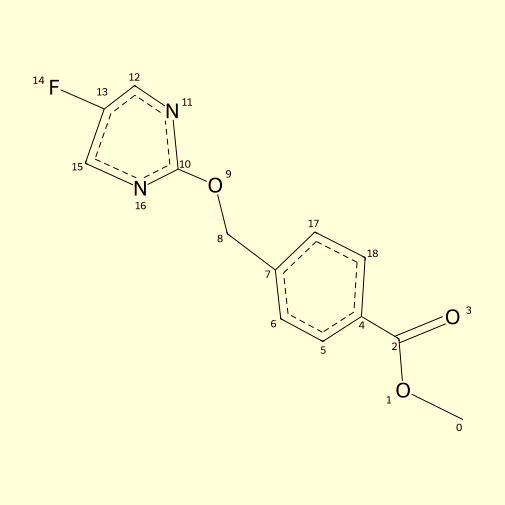 COC(=O)c1ccc(COc2ncc(F)cn2)cc1